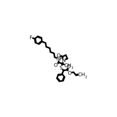 C=CCOC(=O)C(SC(C)(C(=O)NCCCCCCc1ccc(F)cc1)N1CCC1=O)c1ccccc1